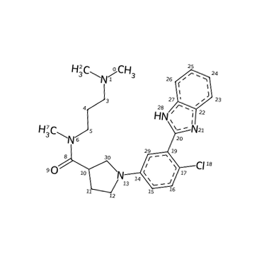 CN(C)CCCN(C)C(=O)C1CCN(c2ccc(Cl)c(-c3nc4ccccc4[nH]3)c2)C1